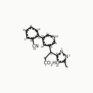 Cc1nnc(C(CC(=O)O)c2cncc(-c3ccccc3C#N)c2)o1